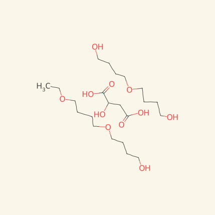 CCOCCCCOCCCCO.O=C(O)CC(O)C(=O)O.OCCCCOCCCCO